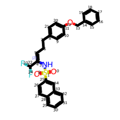 O=S(=O)(N/C(=C\CCc1ccc(OCc2ccccc2)cc1)C(F)F)c1ccc2ccccc2c1